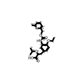 CCOc1ccc(CC(OC(C)C)C(=O)O)cc1NC(=O)OCc1cccc(C)n1